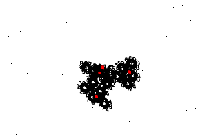 N#Cc1cc([Si](c2ccccc2)(c2ccccc2)c2cc(-c3ccc4c(c3)c3ccccc3n4-c3ccc([Si](c4ccccc4)(c4ccccc4)c4cccc5c4sc4ccccc45)cc3C#N)cc3c2oc2ccccc23)ccc1-n1c2ccccc2c2ccccc21